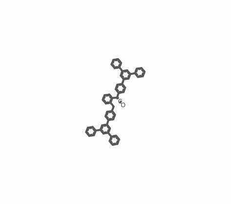 O=C=C(c1ccc(-c2cc(-c3ccccc3)cc(-c3ccccc3)c2)cc1)c1ccccc1Cc1ccc(-c2cc(-c3ccccc3)cc(-c3ccccc3)c2)cc1